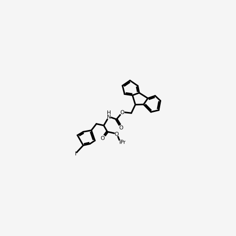 CC(C)OC(=O)C(Cc1ccc(I)cc1)NC(=O)OCC1c2ccccc2-c2ccccc21